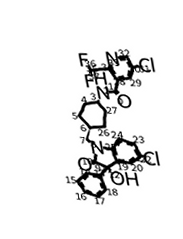 O=C(N[C@H]1CC[C@H](CN2C(=O)C(O)(c3ccccc3)c3cc(Cl)ccc32)CC1)c1cc(Cl)cnc1C(F)F